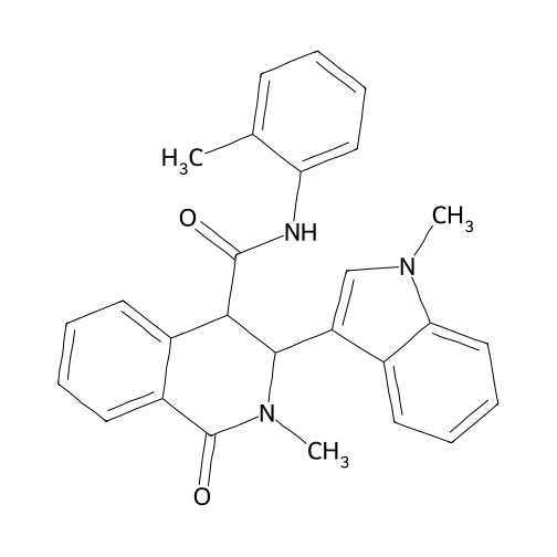 Cc1ccccc1NC(=O)C1c2ccccc2C(=O)N(C)C1c1cn(C)c2ccccc12